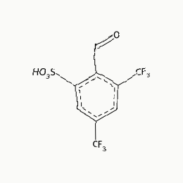 O=Ic1c(C(F)(F)F)cc(C(F)(F)F)cc1S(=O)(=O)O